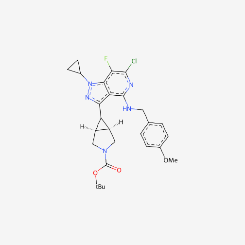 COc1ccc(CNc2nc(Cl)c(F)c3c2c(C2[C@H]4CN(C(=O)OC(C)(C)C)C[C@@H]24)nn3C2CC2)cc1